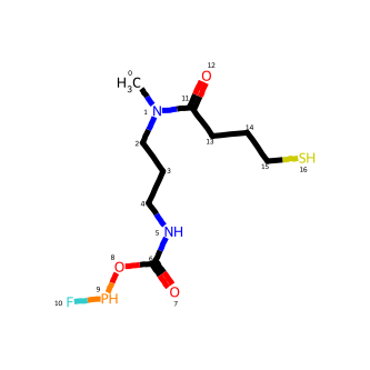 CN(CCCNC(=O)OPF)C(=O)CCCS